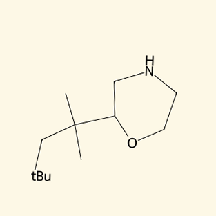 CC(C)(C)CC(C)(C)C1CNCCO1